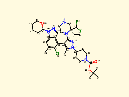 CC[C@@]1(C(F)F)CNCCN1c1nn(C2CCN(C(=O)OC(C)(C)C)CC2)c(C)c1-c1c(Cl)c(C)cc2c1cnn2C1CCCCO1